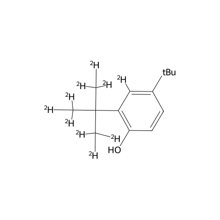 [2H]c1c(C(C)(C)C)ccc(O)c1C(C([2H])([2H])[2H])(C([2H])([2H])[2H])C([2H])([2H])[2H]